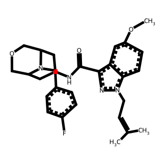 COc1ccc2c(c1)c(C(=O)NC1CC3COCC(C1)N3Cc1ccc(F)cc1)nn2CC=C(C)C